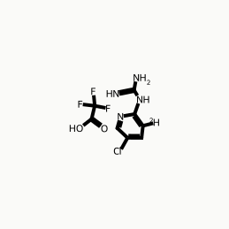 O=C(O)C(F)(F)F.[2H]c1cc(Cl)cnc1NC(=N)N